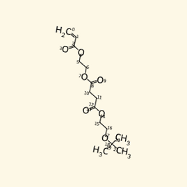 C=CC(=O)OCCOC(=O)CCC(=O)OCCOC(C)(C)C